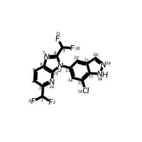 FC(F)c1ccc2nc(C(F)F)n(-c3cc(Cl)c4[nH]ncc4c3)c2n1